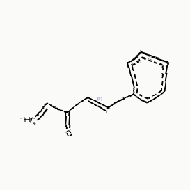 [CH]=CC(=O)/C=C/c1ccccc1